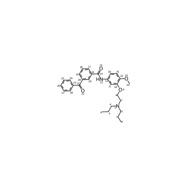 CCCN(CCC)CCOc1cc(NC(=O)c2cccc(C(=O)c3ccccc3)c2)ccc1OC